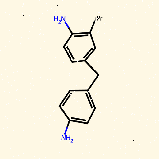 CC(C)c1cc(Cc2ccc(N)cc2)ccc1N